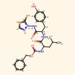 CC(C)CC(NC(=O)OCc1ccccc1)C(=O)NC(Cc1ccc(O)cc1)C(=O)Nn1ncsc1=S